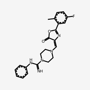 Cc1ccc(F)cc1C1=N/C(=C/N2CCN(C(=N)Nc3ccccc3)CC2)C(=O)O1